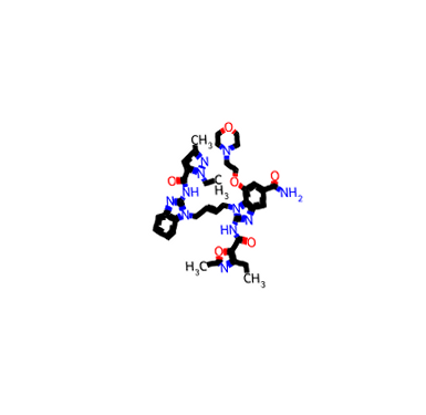 CCc1nc(C)oc1C(=O)Nc1nc2cc(C(N)=O)cc(OCCN3CCOCC3)c2n1CC=CCn1c(NC(=O)c2cc(C)nn2CC)nc2ccccc21